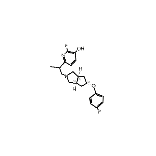 CC(CN1C[C@H]2C[C@H](Oc3ccc(F)cc3)C[C@H]2C1)c1ccc(O)c(F)n1